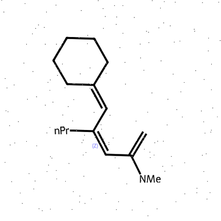 C=C(/C=C(\C=C1CCCCC1)CCC)NC